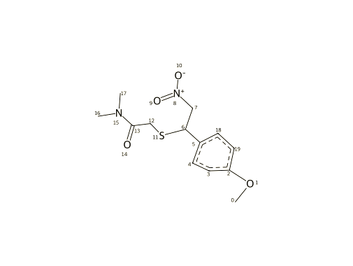 COc1ccc(C(C[N+](=O)[O-])SCC(=O)N(C)C)cc1